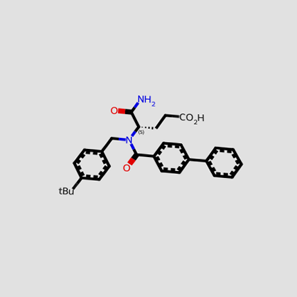 CC(C)(C)c1ccc(CN(C(=O)c2ccc(-c3ccccc3)cc2)[C@@H](CCC(=O)O)C(N)=O)cc1